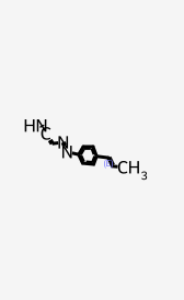 C/C=C/c1ccc(N=NC=C=N)cc1